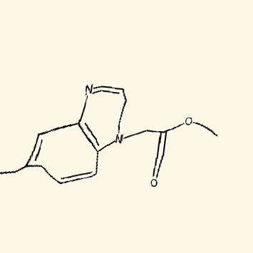 COC(=O)n1cnc2cc(C)ccc21